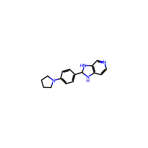 c1cc2c(cn1)NC(c1ccc(N3CCCC3)cc1)N2